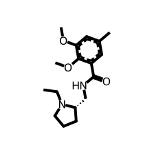 CCN1CCC[C@H]1CNC(=O)c1cc(C)cc(OC)c1OC